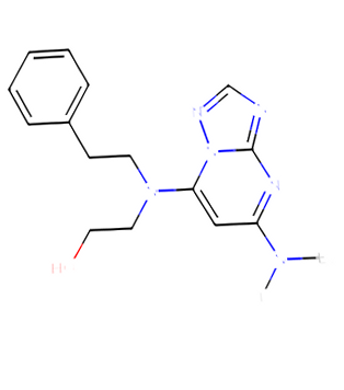 CCN(CC)c1cc(N(CCO)CCc2ccccc2)n2ncnc2n1